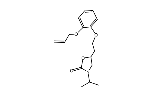 C=CCOc1ccccc1OCCC1CN(C(C)C)C(=O)O1